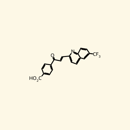 O=C(O)c1ccc(C(=O)/C=C/c2ccc3cc(C(F)(F)F)ccc3n2)cc1